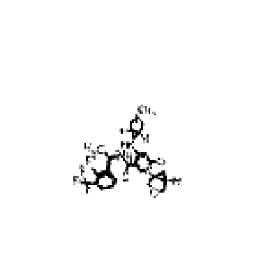 C[C@@H](NC(=O)c1cn([C@]23COC[C@H]2C3)c(=O)cc1N[C@H]1[C@@H]2CN(C)C[C@@H]21)c1cccc(C(F)(F)F)c1F